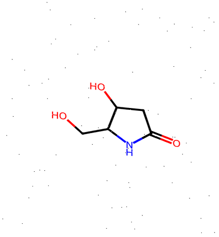 O=C1CC(O)C(CO)N1